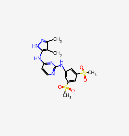 Cc1n[nH]c(Nc2ccnc(Nc3cc(S(C)(=O)=O)cc(S(C)(=O)=O)c3)n2)c1C